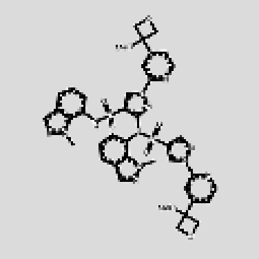 COC1(c2ccnc(-n3cc(S(=O)(=O)N(c4nn(-c5cc(C6(OC)COC6)ccn5)cc4S(=O)(=O)Nc4cccc5cnn(C)c45)c4cccc5cnn(C)c45)cn3)c2)COC1